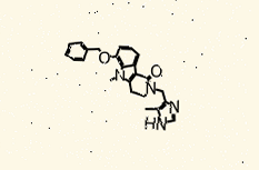 Cc1[nH]cnc1CN1CCc2c(c3cccc(OCc4ccccc4)c3n2C)C1=O